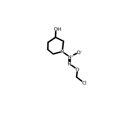 [O-]/[N+](=N\OCCl)N1CCCC(O)C1